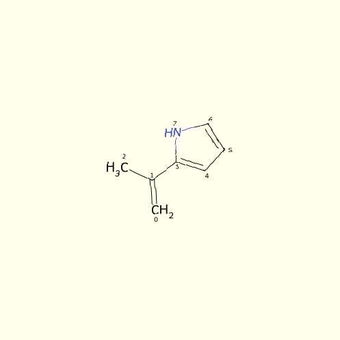 C=C(C)c1ccc[nH]1